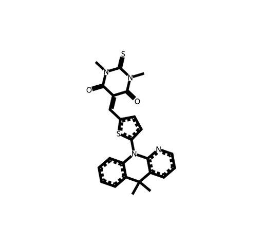 CN1C(=O)C(=Cc2ccc(N3c4ccccc4C(C)(C)c4cccnc43)s2)C(=O)N(C)C1=S